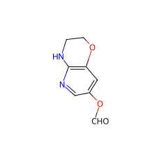 O=COc1cnc2c(c1)OCCN2